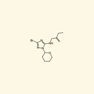 C=C(CC)CNc1nc(Br)nn1C1CCCCO1